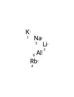 [Al].[K].[Li].[Na].[Rb]